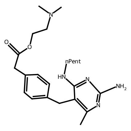 CCCCCNc1nc(N)nc(C)c1Cc1ccc(CC(=O)OCCN(C)C)cc1